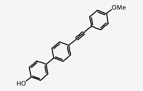 COc1ccc(C#Cc2ccc(-c3ccc(O)cc3)cc2)cc1